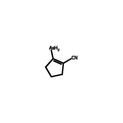 N#CC1=C([AsH2])CCC1